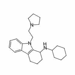 c1ccc2c(c1)c1c(n2CCN2CCCC2)C(NC2CCCCC2)CCC1